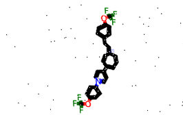 FC(F)(F)Oc1ccc(C/C=C2/C=CC=C(c3cc[n+](-c4ccc(OC(F)(F)F)cc4)cc3)C=C2)cc1